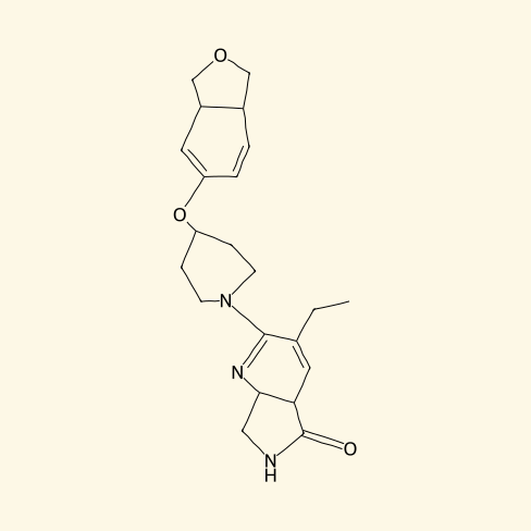 CCC1=CC2C(=O)NCC2N=C1N1CCC(OC2=CC3COCC3C=C2)CC1